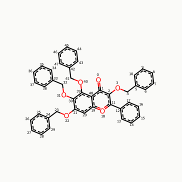 O=c1c(OCc2ccccc2)c(-c2ccccc2)oc2cc(OCc3ccccc3)c(OCc3ccccc3)c(OCc3ccccc3)c12